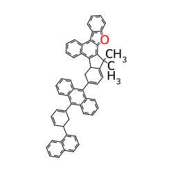 CC1(C)C2=CC=C(c3c4ccccc4c(C4=CC=CC(c5cccc6ccccc56)C4)c4ccccc34)CC2c2c1c1oc3ccccc3c1c1ccccc21